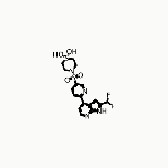 O=S(=O)(c1ccc(-c2ccnc3[nH]c(C(F)F)cc23)nc1)N1CCS(O)(O)CC1